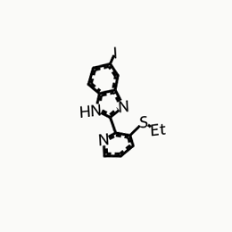 CCSc1cccnc1-c1nc2cc(I)ccc2[nH]1